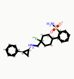 NS(=O)(=O)c1ccccc1C1CCC(F)(CN[C@@H]2C[C@H]2c2ccccc2)CC1